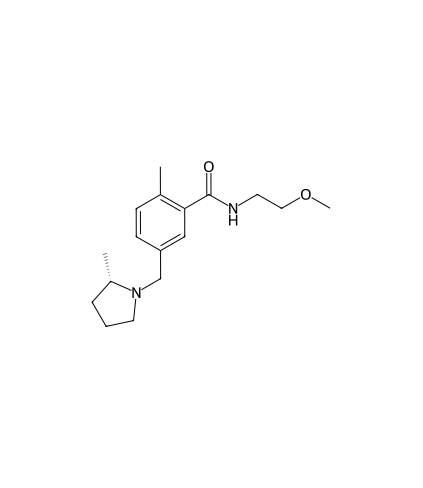 COCCNC(=O)c1cc(CN2CCC[C@@H]2C)ccc1C